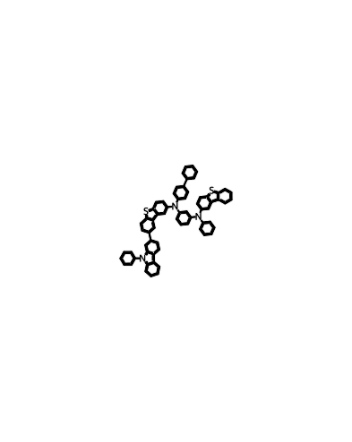 c1ccc(-c2ccc(N(c3cccc(N(c4ccccc4)c4ccc5sc6ccccc6c5c4)c3)c3ccc4sc5ccc(-c6ccc7c8ccccc8n(-c8ccccc8)c7c6)cc5c4c3)cc2)cc1